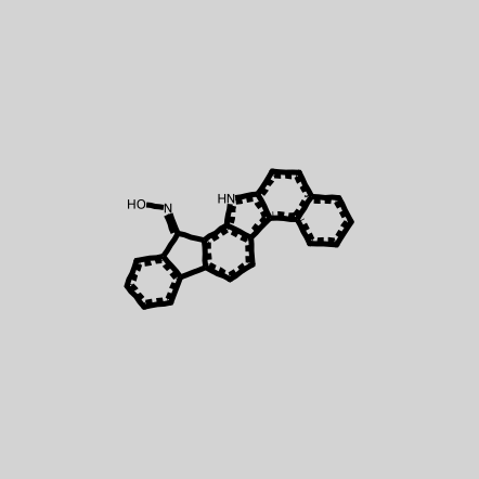 O/N=C1\c2ccccc2-c2ccc3c([nH]c4ccc5ccccc5c43)c21